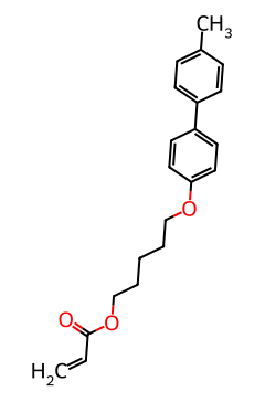 C=CC(=O)OCCCCCOc1ccc(-c2ccc(C)cc2)cc1